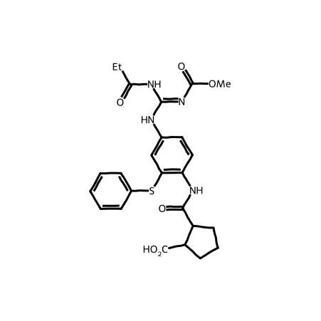 CCC(=O)NC(=NC(=O)OC)Nc1ccc(NC(=O)C2CCCC2C(=O)O)c(Sc2ccccc2)c1